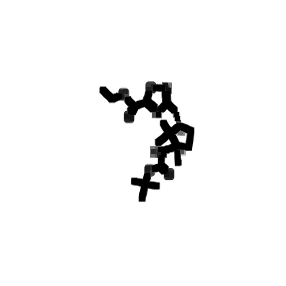 CCOC(=O)c1nc(C[C@@H]2CC[C@](C)(NC(=O)OC(C)(C)C)C2(C)C)no1